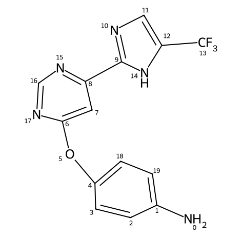 Nc1ccc(Oc2cc(-c3ncc(C(F)(F)F)[nH]3)ncn2)cc1